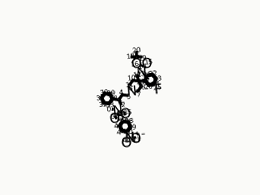 CN(CC(CCN1CCC2(CC1)CN(C(=O)OC(C)(C)C)c1ccc(F)cc12)c1ccccc1)S(=O)(=O)c1ccc([N+](=O)[O-])cc1